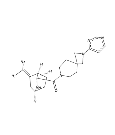 [2H]C([2H])=C1C[C@@H]2CC[C@H]1[C@@H](C(=O)N1CCC3(CC1)CN(c1ccncn1)C3)N2